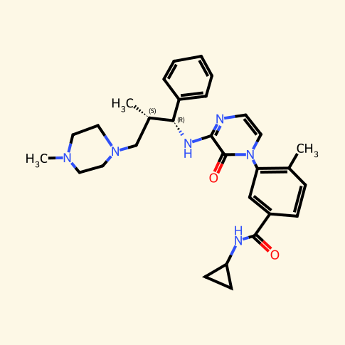 Cc1ccc(C(=O)NC2CC2)cc1-n1ccnc(N[C@@H](c2ccccc2)[C@@H](C)CN2CCN(C)CC2)c1=O